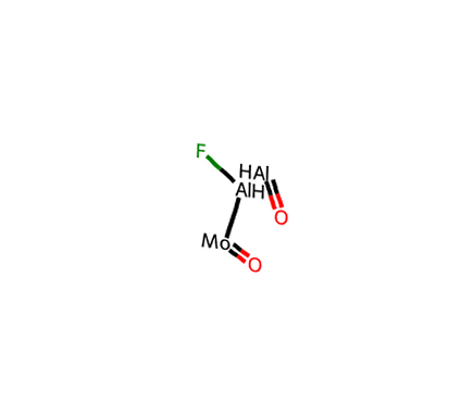 [O]=[AlH].[O]=[Mo][AlH][F]